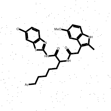 COc1ccc2[nH]c(C)c(CC(=O)NC(CCCCCC(C)=O)C(=O)Nc3nc4ccc(Cl)cc4s3)c2c1